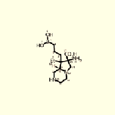 CCC1(CCCB(O)O)[C@H]2CNCCN2CC1(N)C(=O)O